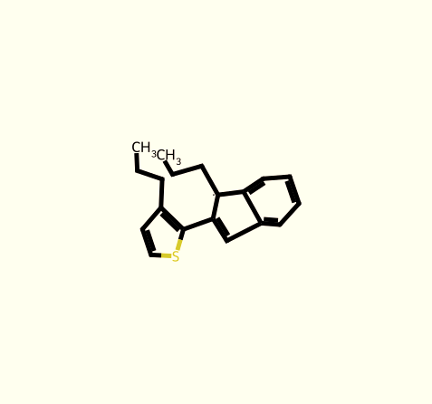 CCC[C]1C(c2sccc2CCC)=Cc2ccccc21